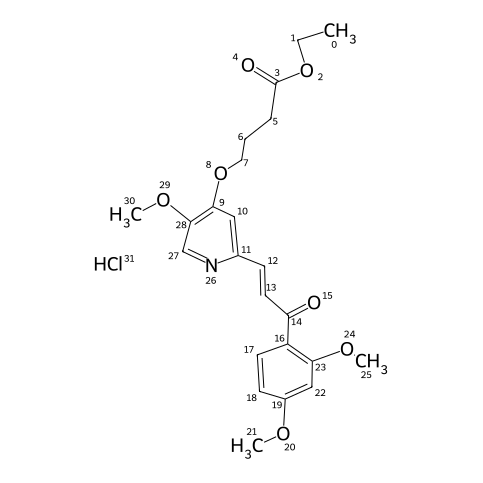 CCOC(=O)CCCOc1cc(C=CC(=O)c2ccc(OC)cc2OC)ncc1OC.Cl